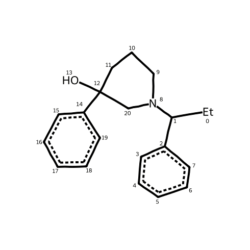 CCC(c1ccccc1)N1CCCC(O)(c2ccccc2)C1